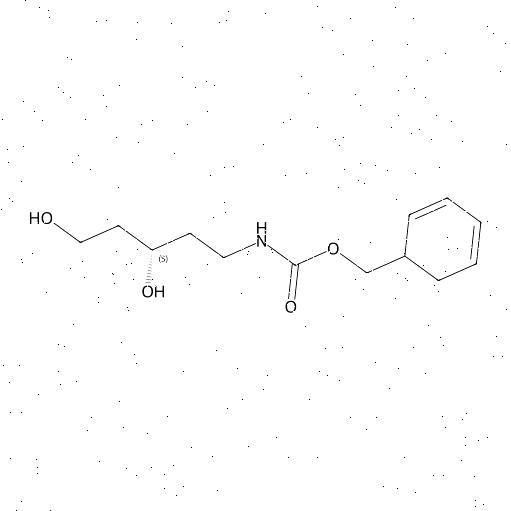 O=C(NCC[C@H](O)CCO)OCC1C=CC=CC1